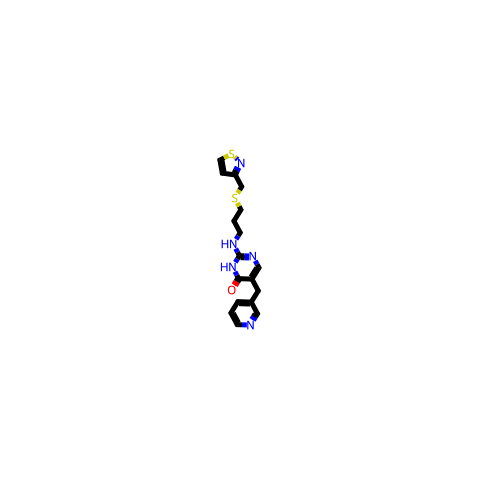 O=c1[nH]c(NCCCSCc2ccsn2)ncc1Cc1cccnc1